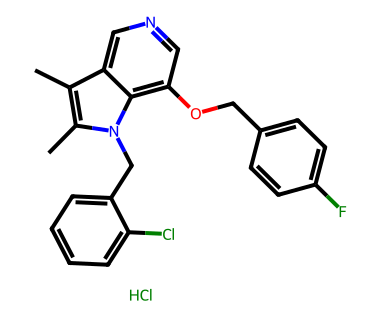 Cc1c(C)n(Cc2ccccc2Cl)c2c(OCc3ccc(F)cc3)cncc12.Cl